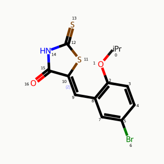 CC(C)Oc1ccc(Br)cc1/C=C1\SC(=S)NC1=O